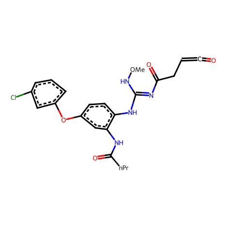 CCCC(=O)Nc1cc(Oc2cccc(Cl)c2)ccc1NC(=NC(=O)CC=C=O)NOC